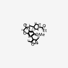 CCC(=O)N1CCC(CN2C(=O)COc3cc(-c4c(C)noc4C)c(OC)cc32)CC1